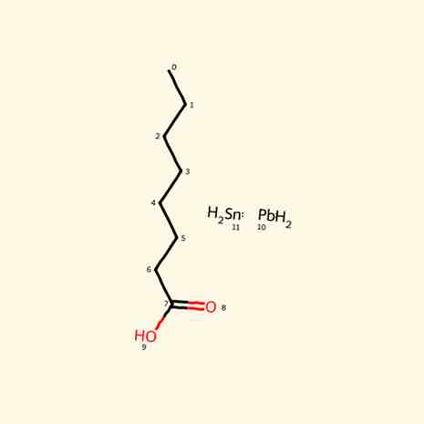 CCCCCCCC(=O)O.[PbH2].[SnH2]